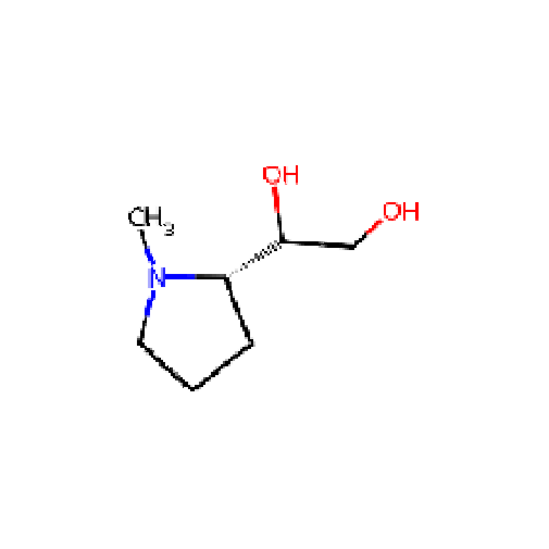 CN1CCC[C@H]1C(O)CO